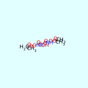 C=C(C)C(=O)OCCOCCNC(=O)OCC(O)COC(=O)NCCOCCOC(=O)C(C)C